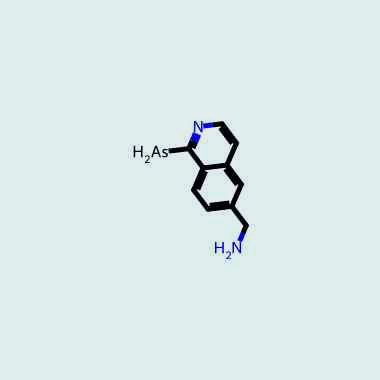 NCc1ccc2c([AsH2])nccc2c1